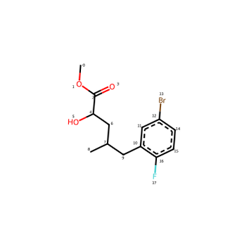 COC(=O)C(O)CC(C)Cc1cc(Br)ccc1F